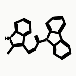 C=C(/C=C\c1c(C)[nH]c2ccccc12)n1c2ccccc2c2ccccc21